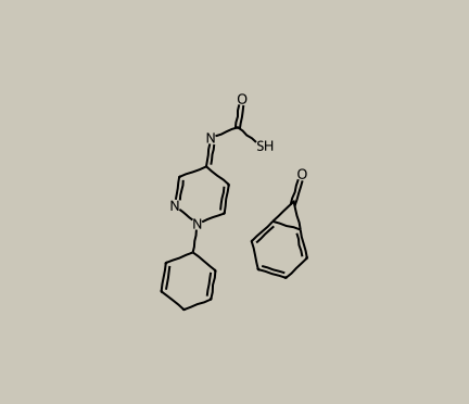 O=C(S)N=c1ccn(C2C=CCC=C2)nc1.O=c1c2ccccc12